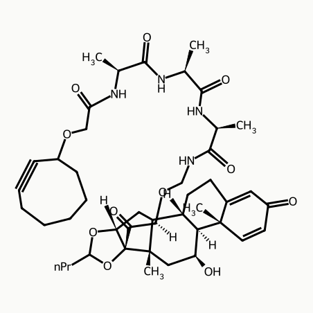 CCCC1O[C@@H]2C[C@H]3[C@@H]4CCC5=CC(=O)C=C[C@]5(C)[C@H]4[C@@H](O)C[C@]3(C)[C@]2(C(=O)COCNC(=O)[C@H](C)NC(=O)[C@H](C)NC(=O)[C@H](C)NC(=O)COC2C#CCCCCC2)O1